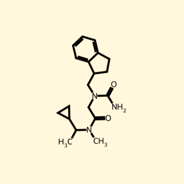 CC(C1CC1)N(C)C(=O)CN(CC1CCc2ccccc21)C(N)=O